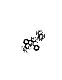 C[C@H](Nc1ncnc2scnc12)c1cc2cccc(-c3cn(C)cn3)c2c(=O)n1-c1ccccc1